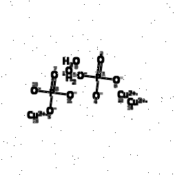 O.O.O=P([O-])([O-])[O-].O=P([O-])([O-])[O-].[Cu+2].[Cu+2].[Cu+2]